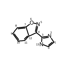 C1=CN=C(c2noc3ccccc23)[N]1